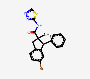 CC1(C(=O)Nc2nncs2)Cc2ccc(Br)cc2C1c1ccccc1